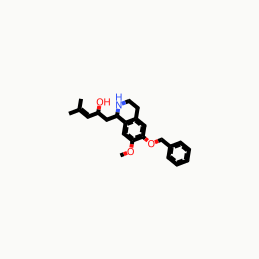 COc1cc2c(cc1OCc1ccccc1)CCNC2CC(O)C=C(C)C